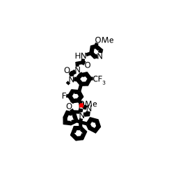 COc1cncc(NC(=O)Cn2c(=O)n(C)c3c(-c4cc(F)c(OCc5nncn5C(c5ccccc5)(c5ccccc5)c5ccccc5)c(OC)c4)cc(C(F)(F)F)cc32)c1